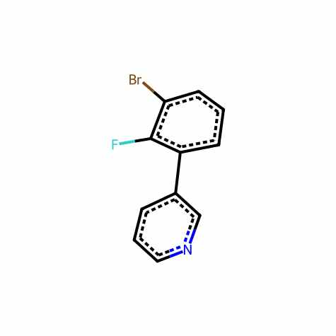 Fc1c(Br)cccc1-c1cccnc1